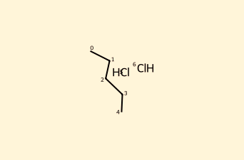 CCCCC.Cl.Cl